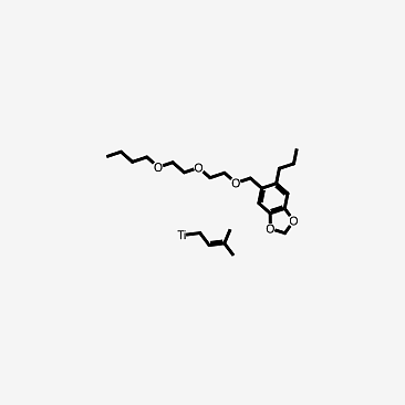 CC(C)=C[CH2][Ti].CCCCOCCOCCOCc1cc2c(cc1CCC)OCO2